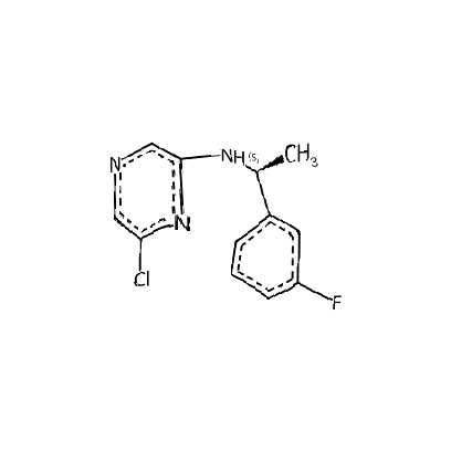 C[C@H](Nc1cncc(Cl)n1)c1cccc(F)c1